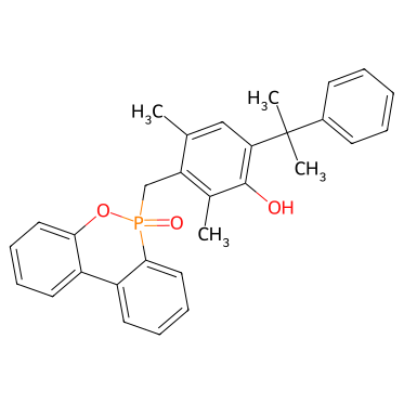 Cc1cc(C(C)(C)c2ccccc2)c(O)c(C)c1CP1(=O)Oc2ccccc2-c2ccccc21